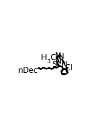 CCCCCCCCCCCCCCCCc1cc2c(s1)-n1c(C)nnc1CN=C2c1ccccc1Cl